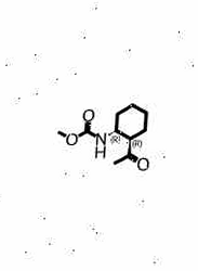 COC(=O)N[C@@H]1CCCC[C@H]1C(C)=O